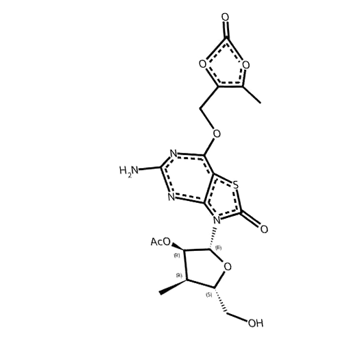 CC(=O)O[C@@H]1[C@H](C)[C@@H](CO)O[C@H]1n1c(=O)sc2c(OCc3oc(=O)oc3C)nc(N)nc21